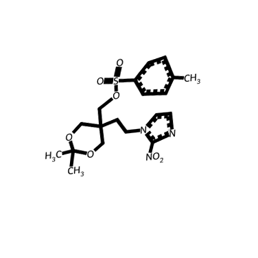 Cc1ccc(S(=O)(=O)OCC2(CCn3ccnc3[N+](=O)[O-])COC(C)(C)OC2)cc1